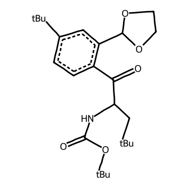 CC(C)(C)CC(NC(=O)OC(C)(C)C)C(=O)c1ccc(C(C)(C)C)cc1C1OCCO1